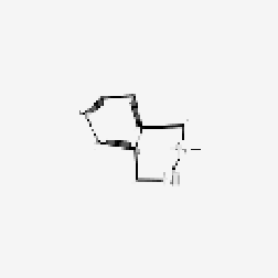 c1ccc2c(c1)CNNC2